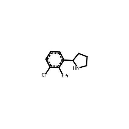 CCCc1c(Cl)cccc1C1CCCN1